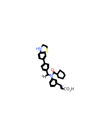 [2H]C(c1ccc(-c2ccc3c(c2)SCCN3)cc1)N(C(=O)C1CCCCC1)c1cccc(/C=C/C(=O)O)c1